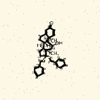 C[C@]12C=CC(=O)C=C1CC[C@H]1[C@@H]3CCC(SCc4ccccc4)(SCc4ccccc4)[C@@]3(C)C[C@H](O)C12F